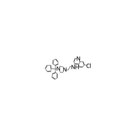 Clc1ccc2c(NCCN3CCN(C(c4ccccc4)(c4ccccc4)c4ccccc4)CC3)ccnc2c1